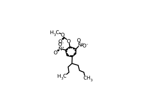 CCCCC(CCC)c1cc([N+](=O)[O-])c(OC(=O)OC)c([N+](=O)[O-])c1